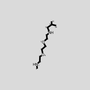 CNCCOCCOCCNCC(C)C